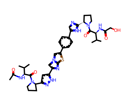 CC(=O)N[C@H](C(=O)N1CCCC1c1cc(-c2cn3cc(-c4ccc(-c5cnc([C@@H]6CCCN6C(=O)[C@@H](NC(=O)CO)C(C)C)[nH]5)cc4)sc3n2)[nH]n1)C(C)C